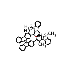 C[SiH2]c1ccccc1-c1cccc(-c2ccc3c(c2)[Si]2(c4ccccc4-3)c3ccccc3-c3ccc(-c4cccc5c4[Si](C)(C)c4ccccc4-5)cc32)c1C